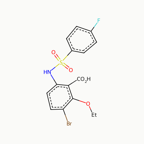 CCOc1c(Br)ccc(NS(=O)(=O)c2ccc(F)cc2)c1C(=O)O